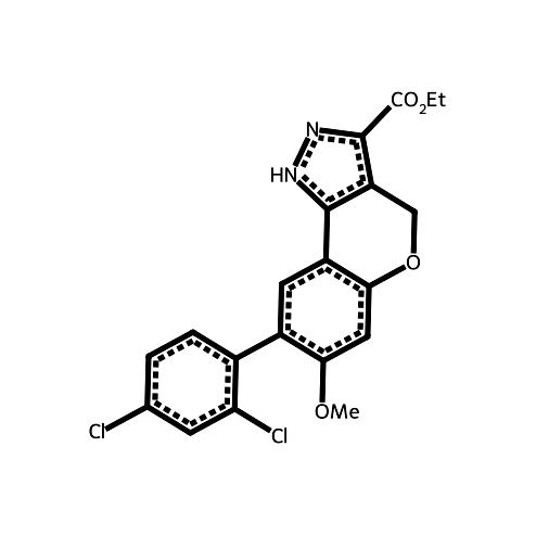 CCOC(=O)c1n[nH]c2c1COc1cc(OC)c(-c3ccc(Cl)cc3Cl)cc1-2